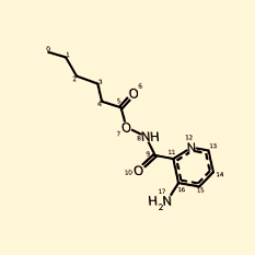 CCCCCC(=O)ONC(=O)c1ncccc1N